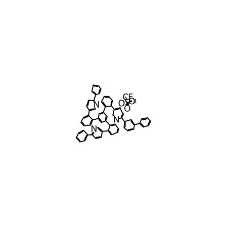 O=S(=O)(Oc1cc(-c2cccc(-c3ccccc3)c2)ncc1-c1ccccc1-c1cc(-c2ccccc2-c2ccc(-c3ccccc3)nc2)cc(-c2ccccc2-c2ccc(-c3ccccc3)nc2)c1)C(F)(F)F